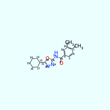 Cc1ccc(C(=O)Nc2nnc(C3CCCCC3)o2)cc1C